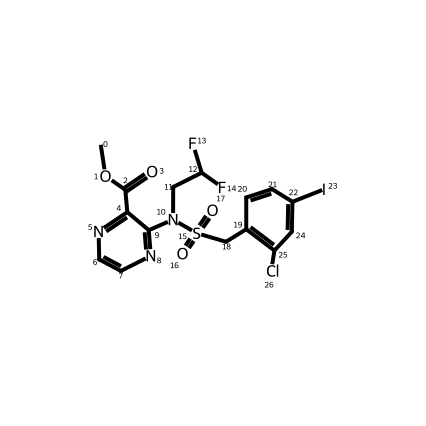 COC(=O)c1nccnc1N(CC(F)F)S(=O)(=O)Cc1ccc(I)cc1Cl